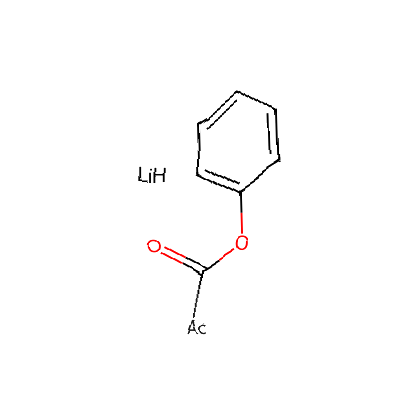 CC(=O)C(=O)Oc1ccccc1.[LiH]